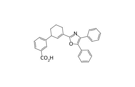 O=C(O)c1cccc(C2C=C(c3nc(-c4ccccc4)c(-c4ccccc4)o3)CCC2)c1